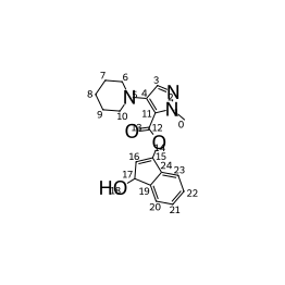 Cn1ncc(N2CCCCC2)c1C(=O)OC1=CC(O)c2ccccc21